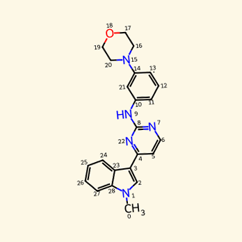 Cn1cc(-c2ccnc(Nc3cc[c]c(N4CCOCC4)c3)n2)c2ccccc21